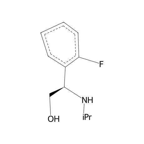 CC(C)N[C@@H](CO)c1ccccc1F